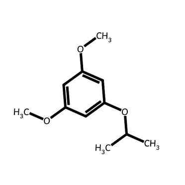 COc1cc(OC)cc(OC(C)C)c1